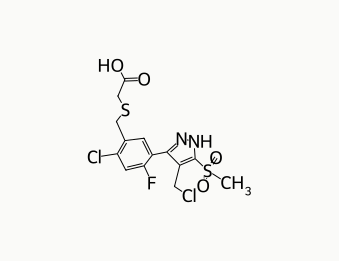 CS(=O)(=O)c1[nH]nc(-c2cc(CSCC(=O)O)c(Cl)cc2F)c1CCl